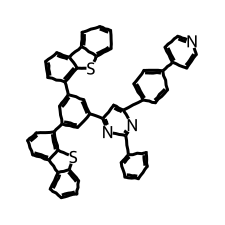 c1ccc(-c2nc(-c3ccc(-c4ccncc4)cc3)cc(-c3cc(-c4cccc5c4sc4ccccc45)cc(-c4cccc5c4sc4ccccc45)c3)n2)cc1